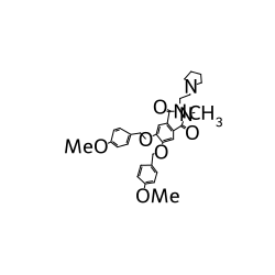 COc1ccc(COc2cc3c(=O)n(C)n(CCN4CCCC4)c(=O)c3cc2OCc2ccc(OC)cc2)cc1